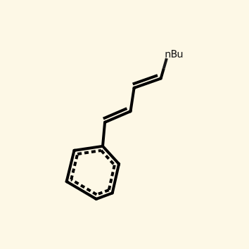 CCCC/C=C/C=C/c1ccccc1